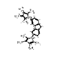 CC1=C(C)[SiH](c2ccc3c(c2)-c2cc([SiH]4C(C)=C(C)C(C)=C4C)ccc2C3)C(C)=C1C